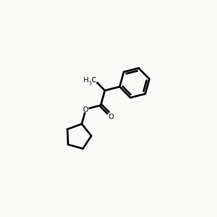 CC(C(=O)OC1CCCC1)c1ccccc1